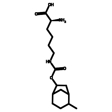 CC1CCC2CC1CC2OC(=O)NCCCC[C@H](N)C(=O)O